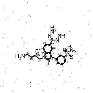 Cc1c(-c2cccc(S(=O)(=O)N(C)C)c2)c2cc(/C(N=N)=N/N)ccc2n1C/C(F)=C/CN